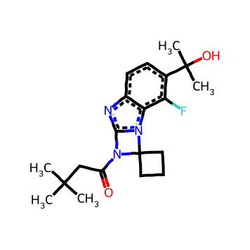 CC(C)(C)CC(=O)N1c2nc3ccc(C(C)(C)O)c(F)c3n2C12CCC2